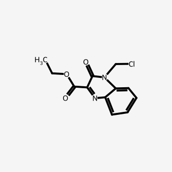 CCOC(=O)c1nc2ccccc2n(CCl)c1=O